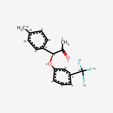 CC(=O)[C@@H](Oc1cccc(C(F)(F)F)c1)c1ccc(C)cc1